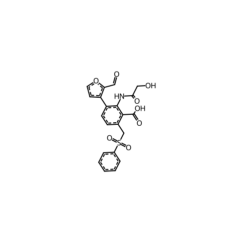 O=Cc1occc1-c1ccc(CS(=O)(=O)c2ccccc2)c(C(=O)O)c1NC(=O)CO